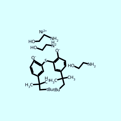 CC(C)(C)CC(C)(C)c1ccc([O-])c(Sc2cc(C(C)(C)CC(C)(C)C)ccc2[O-])c1.NCCO.NCCO.NCCO.[Ni+2]